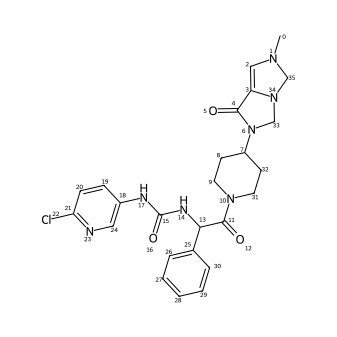 CN1C=C2C(=O)N(C3CCN(C(=O)C(NC(=O)Nc4ccc(Cl)nc4)c4ccccc4)CC3)CN2C1